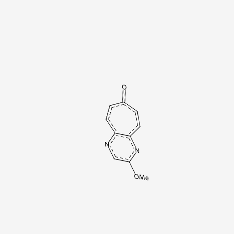 COc1cnc2ccc(=O)ccc2n1